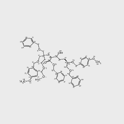 COCOCCC(COCc1ccccc1)(COCc1ccc(OC)cc1)OC(C(=O)OCc1ccccc1)C(O)CC[C@H](COCc1ccccc1)OCc1ccc(OC)cc1